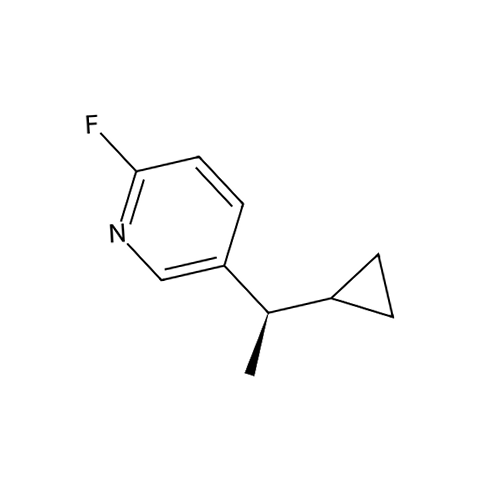 C[C@@H](c1ccc(F)nc1)C1CC1